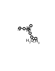 CC1(C)c2ccccc2-c2cc(-c3ccc(-c4nc(-c5ccccc5)nc(-c5ccc(-c6cccnc6)cc5)n4)cc3)ccc21